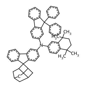 CC1(C)CCC(C)(C)c2cc(N(c3ccc4c(c3)-c3ccccc3C43C4CC5CC6CC3C64C5)c3ccc4c(c3)C(c3ccccc3)(c3ccccc3)c3ccccc3-4)ccc21